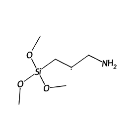 CO[Si](C[CH]CN)(OC)OC